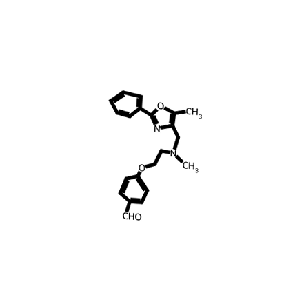 Cc1oc(-c2ccccc2)nc1CN(C)CCOc1ccc(C=O)cc1